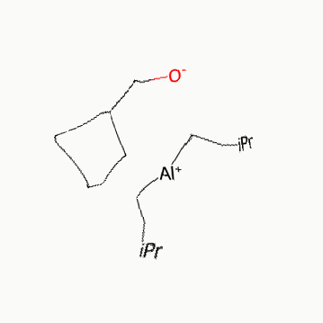 CC(C)[CH2][Al+][CH2]C(C)C.[O-]CC1CCC1